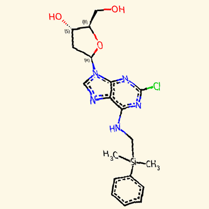 C[Si](C)(CNc1nc(Cl)nc2c1ncn2[C@H]1C[C@H](O)[C@@H](CO)O1)c1ccccc1